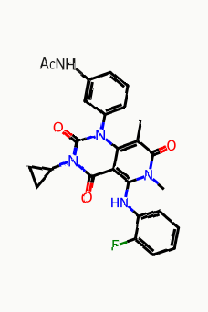 CC(=O)Nc1cccc(-n2c(=O)n(C3CC3)c(=O)c3c(Nc4ccccc4F)n(C)c(=O)c(C)c32)c1